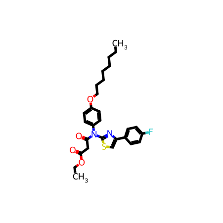 CCCCCCCCOc1ccc(N(C(=O)CC(=O)OCC)c2nc(-c3ccc(F)cc3)cs2)cc1